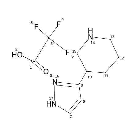 O=C(O)C(F)(F)F.c1cc(C2CCCNC2)n[nH]1